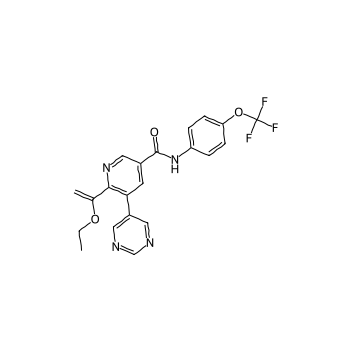 C=C(OCC)c1ncc(C(=O)Nc2ccc(OC(F)(F)F)cc2)cc1-c1cncnc1